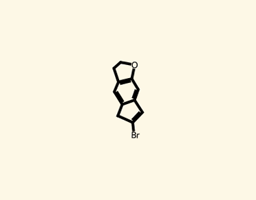 BrC1=Cc2cc3c(cc2C1)CCO3